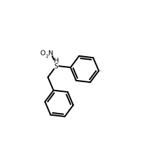 O=[N+]([O-])[SH](Cc1ccccc1)c1cc[c]cc1